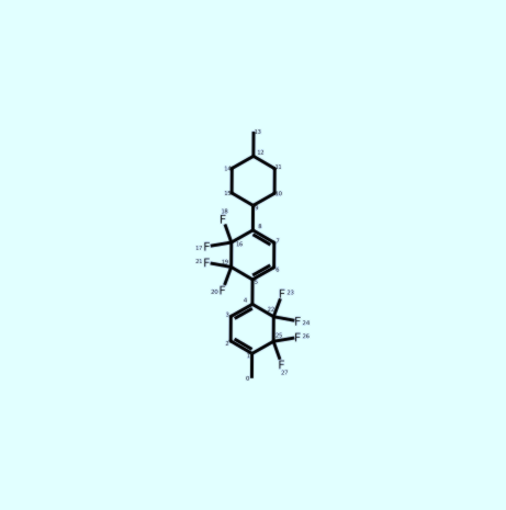 CC1=CC=C(C2=CC=C(C3CCC(C)CC3)C(F)(F)C2(F)F)C(F)(F)C1(F)F